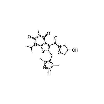 Cc1n[nH]c(C)c1Cc1sc2c(c1C(=O)N1CC(O)CO1)c(=O)n(C)c(=O)n2C(C)C